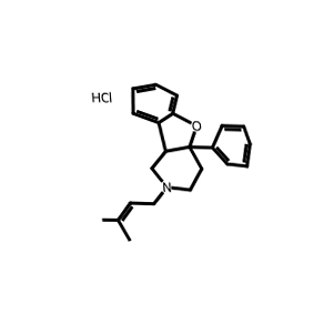 CC(C)=CCN1CCC2(c3ccccc3)Oc3ccccc3C2C1.Cl